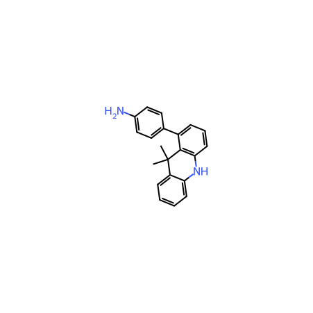 CC1(C)c2ccccc2Nc2cccc(-c3ccc(N)cc3)c21